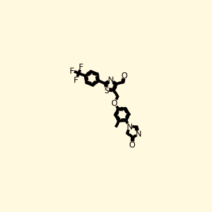 Cc1cc(OCc2sc(-c3ccc(C(F)(F)F)cc3)nc2C=O)ccc1N1C=NC(=O)C1